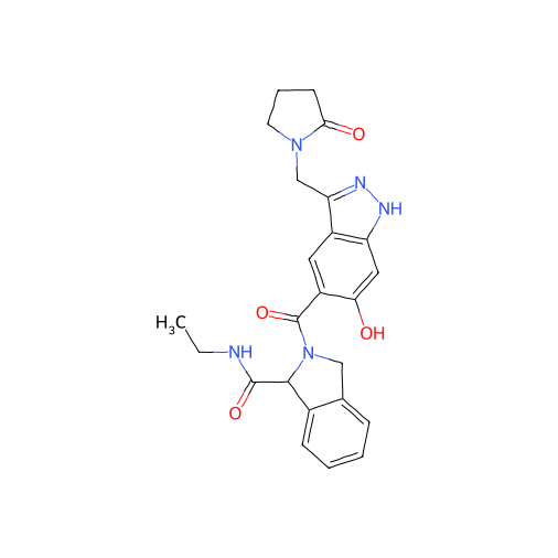 CCNC(=O)C1c2ccccc2CN1C(=O)c1cc2c(CN3CCCC3=O)n[nH]c2cc1O